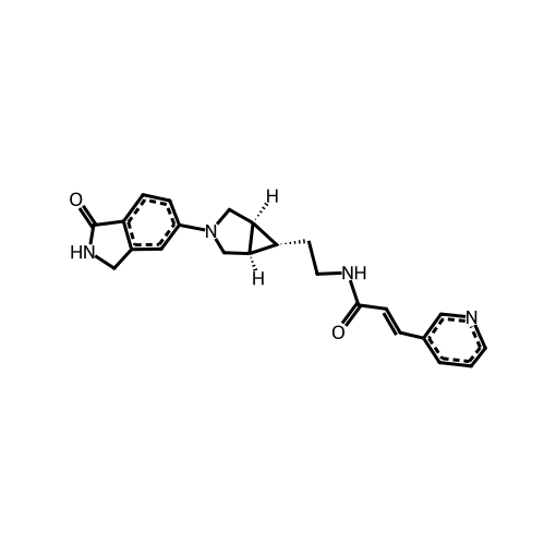 O=C(/C=C/c1cccnc1)NCC[C@@H]1[C@H]2CN(c3ccc4c(c3)CNC4=O)C[C@@H]12